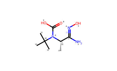 C[C@@H](/C(N)=N/O)N(C(=O)O)C(C)(C)C